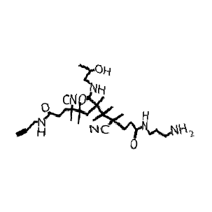 C#CCNC(=O)CCC(C)(C#N)C(C)(C)CC(C)(C(=O)NCC(C)O)C(C)(C)C(C)(C#N)CCC(=O)NCCCN